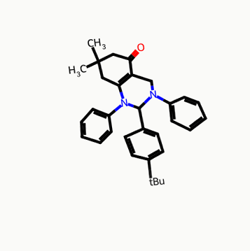 CC1(C)CC(=O)C2=C(C1)N(c1ccccc1)C(c1ccc(C(C)(C)C)cc1)N(c1ccccc1)C2